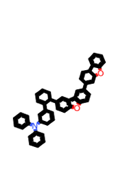 C1=CCC(c2ccc3oc4ccc(C5=CC6Oc7ccccc7C6C=C5)cc4c3c2)C(C2=CC(N(c3ccccc3)c3ccccc3)CC=C2)=C1